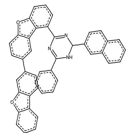 c1ccc(C2=NC(c3cccc4oc5ccc(-c6ccc7c(c6)oc6ccccc67)cc5c34)=NC(c3ccc4ccccc4c3)N2)cc1